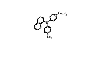 COc1ccc(N(c2ccc(C)cc2)c2cccc3ccccc23)cc1